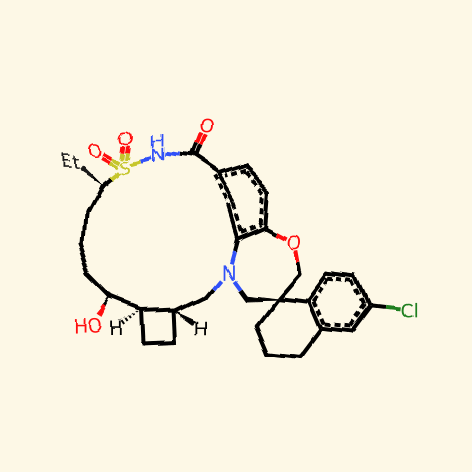 CC[C@@H]1CCC[C@H](O)[C@@H]2CC[C@H]2CN2C[C@@]3(CCCc4cc(Cl)ccc43)COc3ccc(cc32)C(=O)NS1(=O)=O